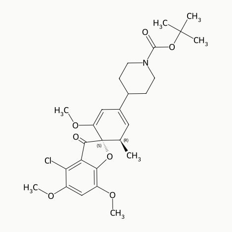 COC1=CC(C2CCN(C(=O)OC(C)(C)C)CC2)=C[C@@H](C)[C@]12Oc1c(OC)cc(OC)c(Cl)c1C2=O